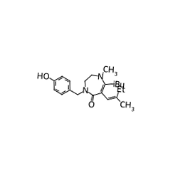 CC/C(C)=C\C1=C(C(C)CC)N(C)CCN(Cc2ccc(O)cc2)C1=O